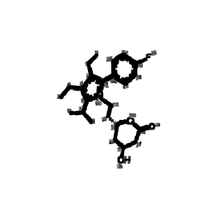 CCc1c(CC)c(C(C)C)n(CC[C@H]2C[C@H](O)CC(=O)O2)c1-c1ccc(F)cc1